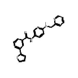 O=C(Nc1ccc(NCc2ccccn2)nc1)c1cccc(-c2cccs2)c1